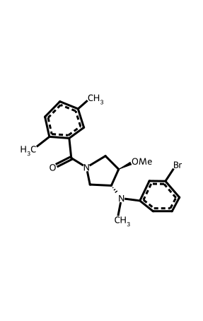 CO[C@@H]1CN(C(=O)c2cc(C)ccc2C)C[C@H]1N(C)c1cccc(Br)c1